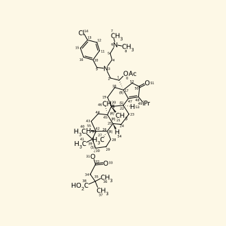 CC(=O)OC(CN(CCN(C)C)Cc1ccc(Cl)cc1)[C@@]12CC[C@]3(C)[C@H](CC[C@@H]4[C@@]5(C)CC[C@H](OC(=O)CC(C)(C)C(=O)O)C(C)(C)[C@@H]5CC[C@]43C)C1=C(C(C)C)C(=O)C2